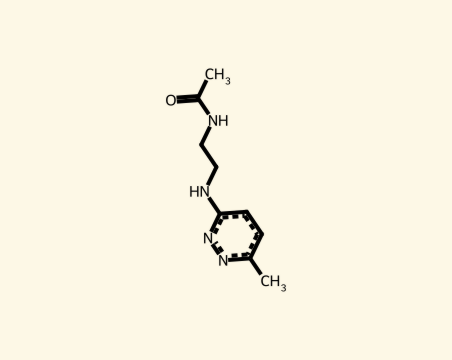 CC(=O)NCCNc1ccc(C)nn1